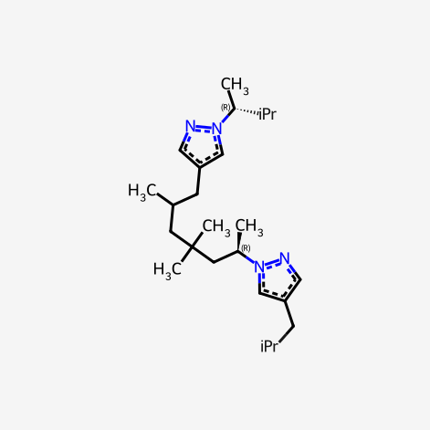 CC(C)Cc1cnn([C@H](C)CC(C)(C)CC(C)Cc2cnn([C@H](C)C(C)C)c2)c1